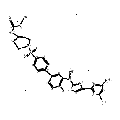 CCCN(c1nc(-c2nc(N)cc(N)n2)cs1)c1cc(-c2ccc(S(=O)(=O)N3CCC(NC(=O)OC(C)(C)C)CC3)cc2)ccc1C